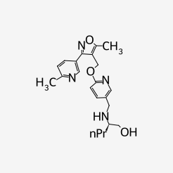 CCC[C@H](CO)NCc1ccc(OCc2c(-c3ccc(C)nc3)noc2C)nc1